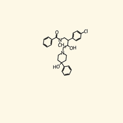 CN(CC(c1ccc(Cl)cc1)C(O)CN1CCC(O)(c2ccccc2)CC1)C(=O)c1ccccc1